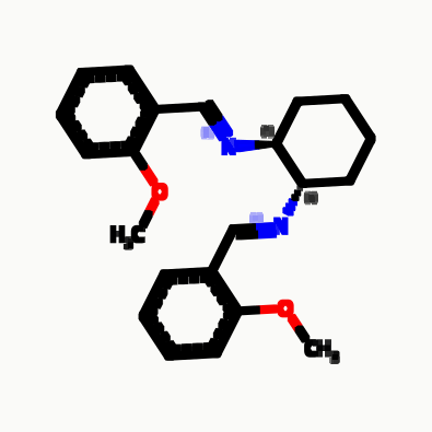 COc1ccccc1/C=N/[C@H]1CCCC[C@@H]1/N=C/c1ccccc1OC